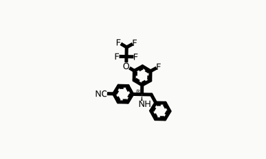 N#Cc1ccc([C@](N)(Cc2ccccc2)c2cc(F)cc(OC(F)(F)C(F)F)c2)cc1